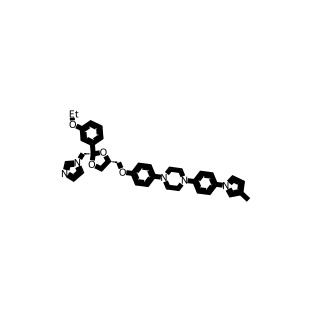 CCOc1cccc([C@]2(Cn3ccnc3)OC[C@@H](COc3ccc(N4CCN(c5ccc(-n6ccc(C)c6)cc5)CC4)cc3)O2)c1